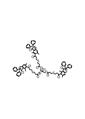 CCC(COC(=O)CCSCCC(=O)c1c(C)cc(C)c(C(=O)P(=O)(c2ccccc2)c2ccccc2)c1C)(COC(=O)CCSCCC(=O)c1c(C)cc(C)c(C(=O)P(=O)(c2ccccc2)c2ccccc2)c1C)COC(=O)CCSCCC(=O)c1c(C)cc(C)c(C(=O)P(=O)(c2ccccc2)c2ccccc2)c1C